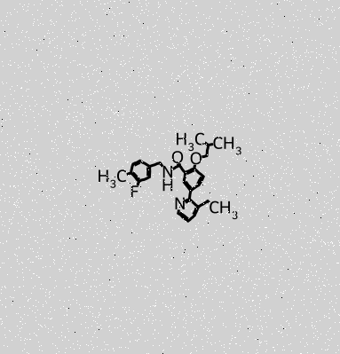 CCc1cccnc1-c1ccc(OCC(C)C)c(C(=O)NCc2ccc(C)c(F)c2)c1